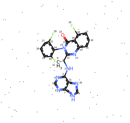 C[C@@H](Nc1ncnc2[nH]cnc12)c1nc2cccc(F)c2c(=O)n1-c1c(F)cccc1F